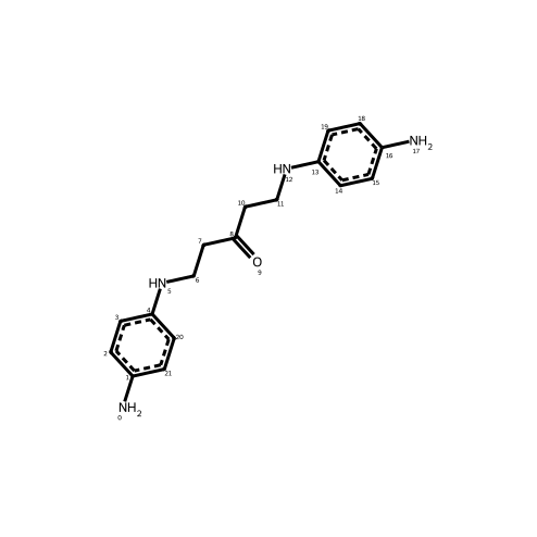 Nc1ccc(NCCC(=O)CCNc2ccc(N)cc2)cc1